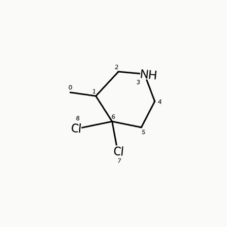 CC1CNCCC1(Cl)Cl